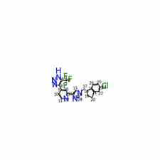 FC(F)(F)c1[nH]nnc1-c1ccnc(-c2cn(C[C@H]3CCc4cc(Cl)ccc43)cn2)c1